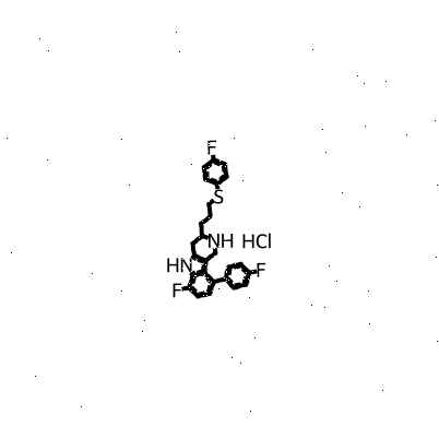 Cl.Fc1ccc(SCCCC2Cc3[nH]c4c(F)ccc(-c5ccc(F)cc5)c4c3CN2)cc1